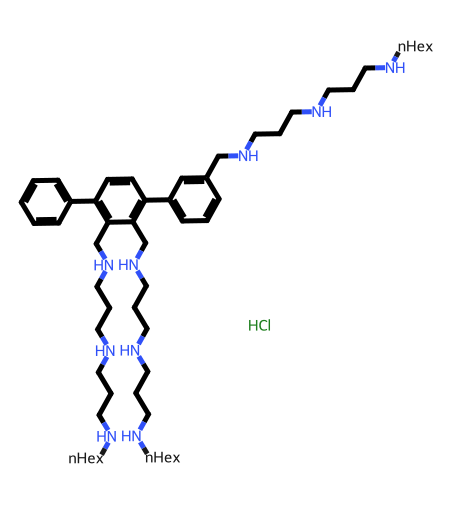 CCCCCCNCCCNCCCNCc1cccc(-c2ccc(-c3ccccc3)c(CNCCCNCCCNCCCCCC)c2CNCCCNCCCNCCCCCC)c1.Cl